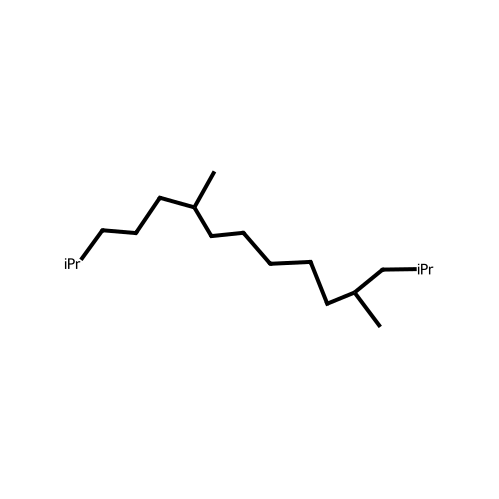 CC(C)CCCC(C)CCCCCC(C)CC(C)C